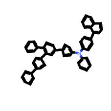 c1ccc(-c2ccc(-c3cc(-c4ccc(N(c5ccccc5)c5ccc(-c6cccc7ccccc67)cc5)cc4)ccc3-c3ccccc3)cc2)cc1